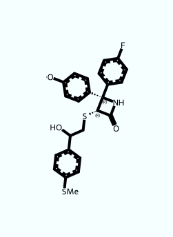 CSc1ccc(C(O)CS[C@H]2C(=O)N[C@]2(c2ccc([O])cc2)c2ccc(F)cc2)cc1